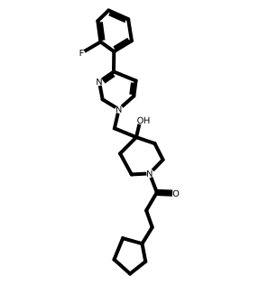 O=C(CCC1CCCC1)N1CCC(O)(CN2C=CC(c3ccccc3F)=NC2)CC1